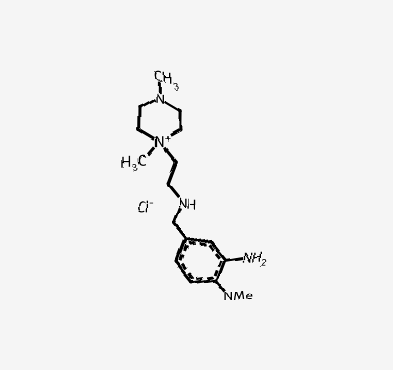 CNc1ccc(CNCC[N+]2(C)CCN(C)CC2)cc1N.[Cl-]